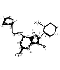 N[C@H]1CCOC[C@@H]1c1oc2c(NCc3cccs3)cc(Cl)nc2c1Br